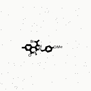 COc1ccc(Cn2nc(C(C)Br)c3c4ccc(C)cc4c(=O)n(C)c32)cc1